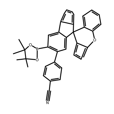 CC1(C)OB(c2cc3c(cc2-c2ccc(C#N)cc2)C2(c4ccccc4Oc4ccccc42)c2ccccc2-3)OC1(C)C